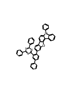 c1ccc(-c2ccc(-c3ccc4c(c3)oc3c4ccc4c3c3ccccc3n4-c3ccccc3)c(-c3nc(-c4ccccc4)nc(-c4ccccc4)n3)c2)cc1